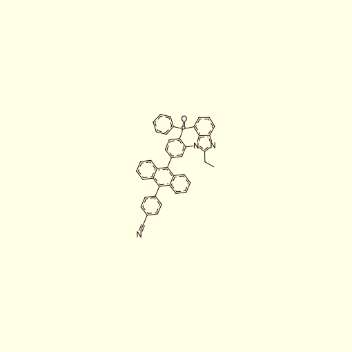 CCc1nc2cccc3c2n1-c1cc(-c2c4ccccc4c(-c4ccc(C#N)cc4)c4ccccc24)ccc1P3(=O)c1ccccc1